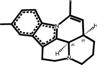 Cc1ccc2c(c1)c1c3n2C(O)=C[C@H]2CCCN(CC1)[C@@H]32